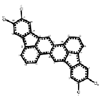 Clc1cc2c(cc1Cl)c1cc3c(cc4c5cc(Cl)c(Cl)cc5c5cccc3c54)c3cccc2c31